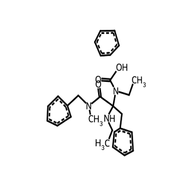 CCNC(Cc1ccccc1)(C(=O)N(C)Cc1ccccc1)N(CC)C(=O)O.c1ccccc1